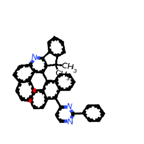 CC1(C)c2ccccc2-c2nc3ccc4ccccc4c3c(-c3c4ccccc4c(-c4ccnc(-c5ccccc5)n4)c4ccccc34)c21